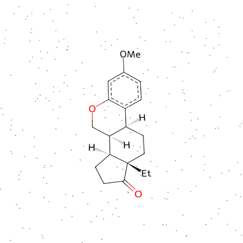 CC[C@]12CC[C@@H]3c4ccc(OC)cc4OC[C@@H]3[C@@H]1CCC2=O